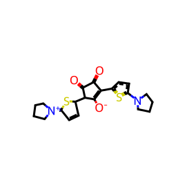 O=C1C(=O)C(C2C=CC(=[N+]3CCCC3)S2)C([O-])=C1c1ccc(N2CCCC2)s1